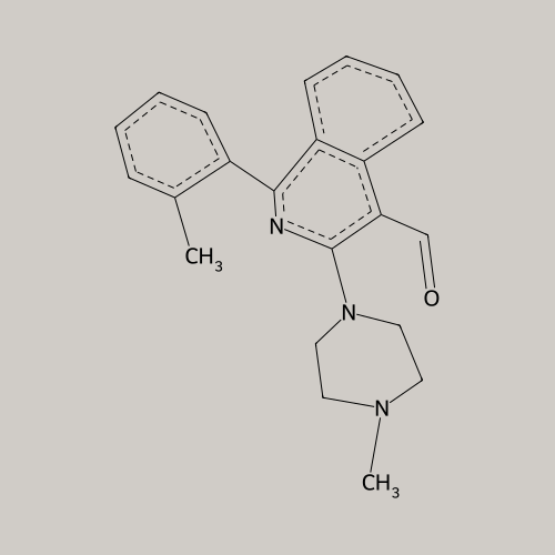 Cc1ccccc1-c1nc(N2CCN(C)CC2)c(C=O)c2ccccc12